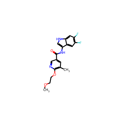 COCCOc1ncc(C(=O)Nc2c[nH]c3cc(F)c(F)cc23)cc1C